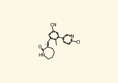 Cc1c(/C=C2\CCCCNC2=O)cc(C#N)cc1-c1ccc(Cl)nc1